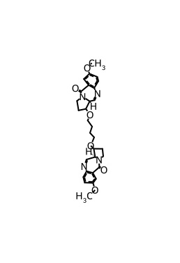 COc1ccc2c(c1)C(=O)N1CCC(OCCCCOC3CCN4C(=O)c5cc(OC)ccc5N=C[C@@H]34)[C@@H]1C=N2